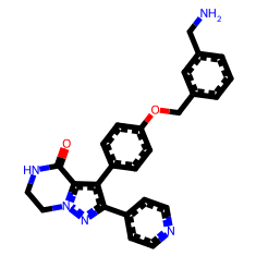 NCc1cccc(COc2ccc(-c3c(-c4ccncc4)nn4c3C(=O)NCC4)cc2)c1